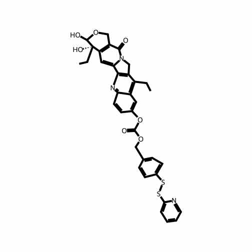 CCc1c2c(nc3ccc(OC(=O)OCc4ccc(SSc5ccccn5)cc4)cc13)-c1cc3c(c(=O)n1C2)COC(O)[C@]3(O)CC